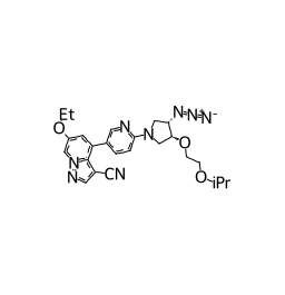 CCOc1cc(-c2ccc(N3C[C@H](N=[N+]=[N-])[C@@H](OCCOC(C)C)C3)nc2)c2c(C#N)cnn2c1